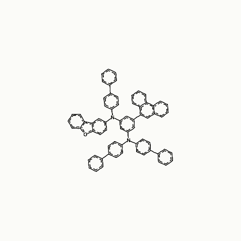 c1ccc(-c2ccc(N(c3ccc(-c4ccccc4)cc3)c3cc(-c4cc5ccccc5c5ccccc45)cc(N(c4ccc(-c5ccccc5)cc4)c4ccc5oc6ccccc6c5c4)c3)cc2)cc1